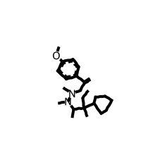 C=C(CN(C)N(C)C(C)C(C)(CC)C1CCCCC1)c1ccc(OC)cc1